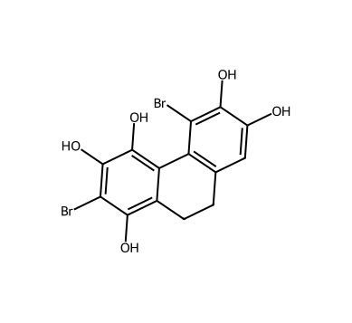 Oc1cc2c(c(Br)c1O)-c1c(O)c(O)c(Br)c(O)c1CC2